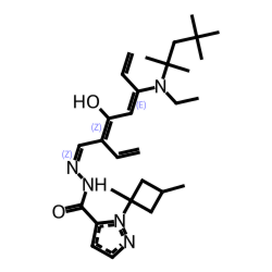 C=CC(/C=N\NC(=O)c1ccnn1C1(C)CC(C)C1)=C(O)\C=C(/C=C)N(CC)C(C)(C)CC(C)(C)C